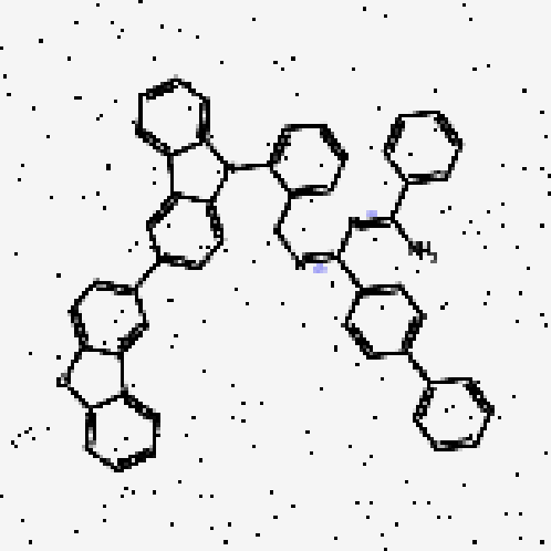 N/C(=N\C(=N/Cc1ccccc1-n1c2ccccc2c2cc(-c3ccc4oc5ccccc5c4c3)ccc21)c1ccc(-c2ccccc2)cc1)c1ccccc1